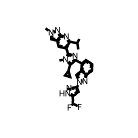 CC(C)c1nc2nn(C)cc2cc1-c1nc(-c2cccc3nn(-c4cc(C(F)F)[nH]n4)cc23)c(C2CC2)n1C